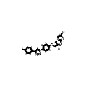 Cc1ccc(-c2cn(-c3ccc(OC[C@@]4(C)Cn5cc(I)nc5O4)cc3)nn2)cc1